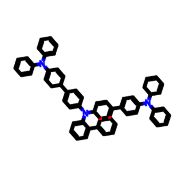 C1=CCC(N(c2ccccc2)c2ccc(C3=CCC(N(c4ccc(C5C=CC(N(c6ccccc6)c6ccccc6)=CC5)cc4)c4ccccc4-c4ccccc4)C=C3)cc2)C=C1